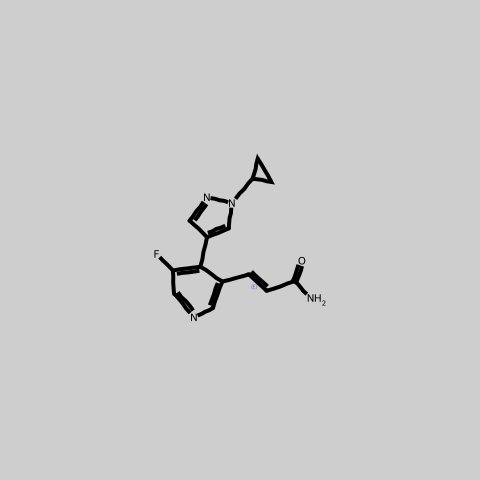 NC(=O)/C=C/c1cncc(F)c1-c1cnn(C2CC2)c1